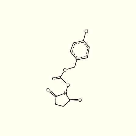 O=C(OCc1ccc(Cl)cc1)ON1C(=O)CCC1=O